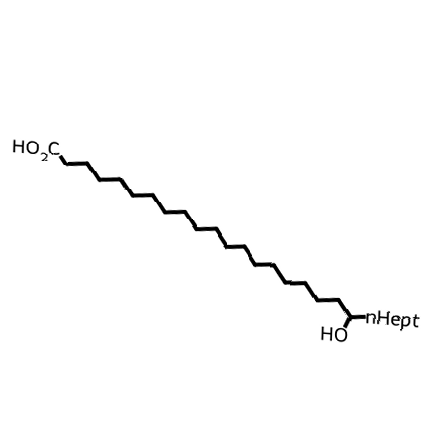 CCCCCCCC(O)CCCCCCCCCCCCCCCCCCC(=O)O